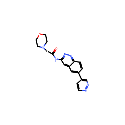 O=C(CN1CCOCC1)Nc1cc2cc(-c3ccnnc3)ccc2nn1